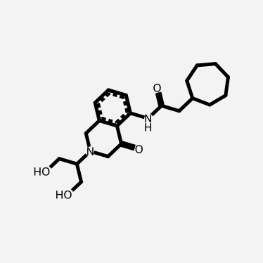 O=C(CC1CCCCCC1)Nc1cccc2c1C(=O)CN(C(CO)CO)C2